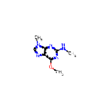 CNc1nc(OC)c2ncn(C)c2n1